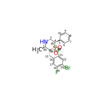 C[C@H]1NC[C@@H](c2ccccc2)S(=O)(=O)[C@@H]1Cc1cc(F)c(Br)cc1F